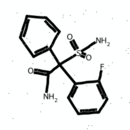 NC(=O)C(c1ccccc1)(c1ccccc1F)S(N)(=O)=O